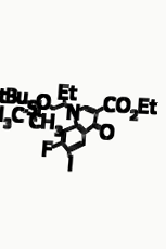 CCOC(=O)c1cn(C(CC)CO[Si](C)(C)C(C)(C)C)c2cc(F)c(I)cc2c1=O